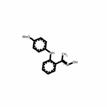 COc1ccc(Nc2ccccc2/C(C)=N/O)cc1